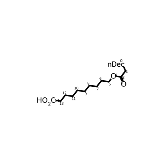 CCCCCCCCCCCC(=O)OCCCCCCCCCC(=O)O